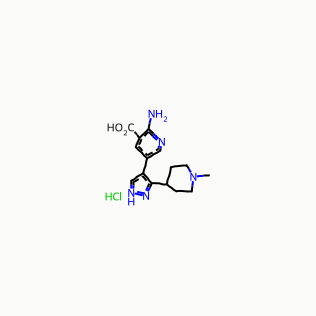 CN1CCC(c2n[nH]cc2-c2cnc(N)c(C(=O)O)c2)CC1.Cl